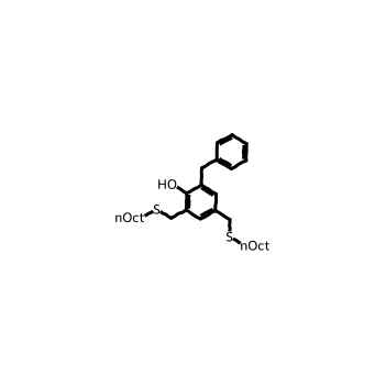 CCCCCCCCSCc1cc(CSCCCCCCCC)c(O)c(Cc2ccccc2)c1